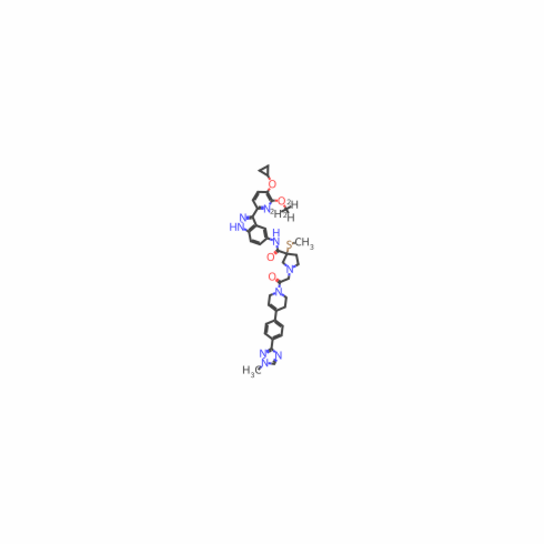 [2H]C([2H])([2H])Oc1nc(-c2n[nH]c3ccc(NC(=O)[C@]4(SC)CCN(CC(=O)N5CC=C(c6ccc(-c7ncn(C)n7)cc6)CC5)C4)cc23)ccc1OC1CC1